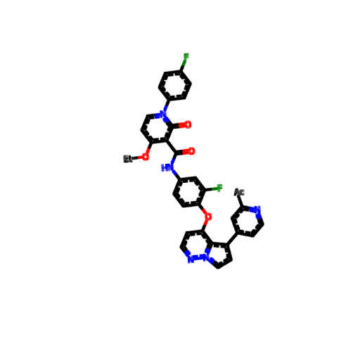 CCOc1ccn(-c2ccc(F)cc2)c(=O)c1C(=O)Nc1ccc(Oc2ccnn3ccc(-c4ccnc(C(C)=O)c4)c23)c(F)c1